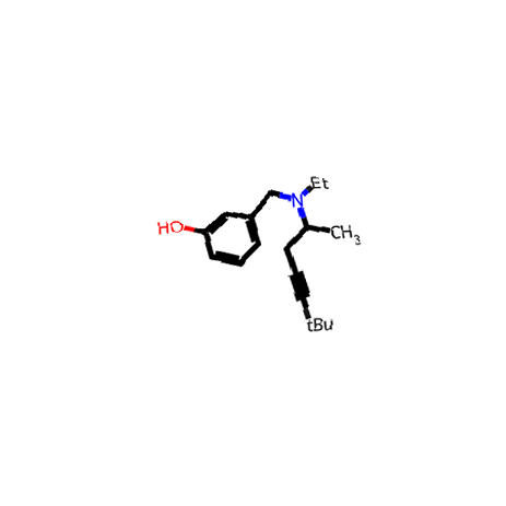 CCN(Cc1cccc(O)c1)C(C)CC#CC(C)(C)C